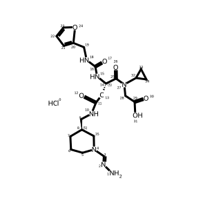 Cl.NN=CN1CCC[C@@H](CNC(=O)C[C@H](NC(=O)NCc2ccco2)C(=O)N(CC(=O)O)C2CC2)C1